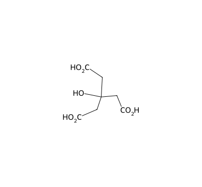 O=C(O)CC(O)(CC(=O)O)CC(=O)O